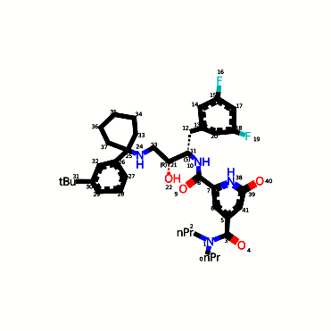 CCCN(CCC)C(=O)c1cc(C(=O)N[C@@H](Cc2cc(F)cc(F)c2)[C@H](O)CNC2(c3cccc(C(C)(C)C)c3)CCCCC2)[nH]c(=O)c1